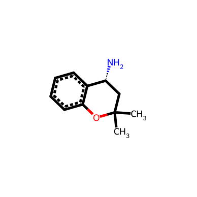 CC1(C)C[C@@H](N)c2ccccc2O1